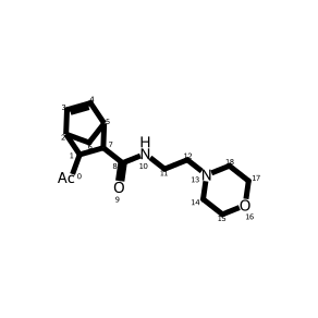 CC(=O)C1C2C=CC(C2)C1C(=O)NCCN1CCOCC1